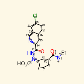 CCN(C)C(=O)[C@H]1CCCC(N(NC(=O)c2cc3ccc(Cl)cc3cn2)C(=O)O)C1